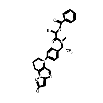 CCC(OC(=O)c1ccccc1)C(=O)N(C)[C@@H](c1ccc(N2CCCc3c2cnc2cc(Cl)nn32)cc1)C(F)(F)F